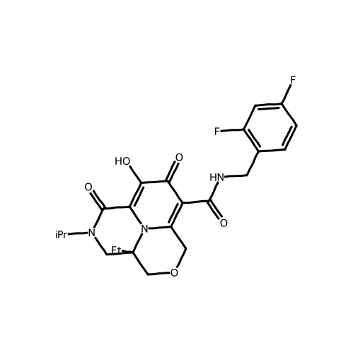 CCC12COCc3c(C(=O)NCc4ccc(F)cc4F)c(=O)c(O)c(n31)C(=O)N(C(C)C)C2